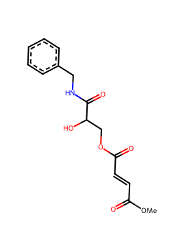 COC(=O)/C=C/C(=O)OCC(O)C(=O)NCc1ccccc1